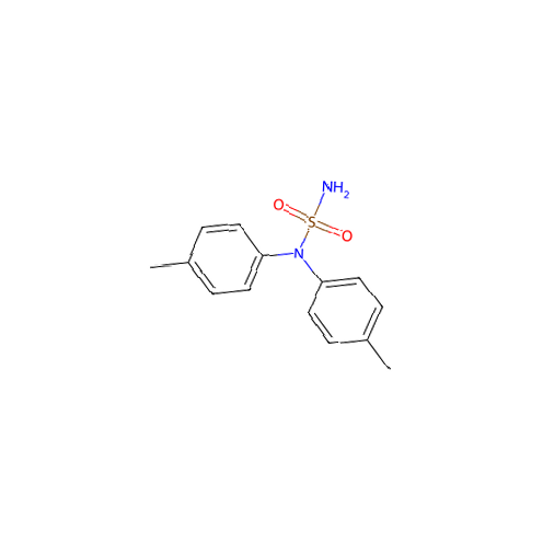 Cc1ccc(N(c2ccc(C)cc2)S(N)(=O)=O)cc1